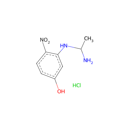 CC(N)Nc1cc(O)ccc1[N+](=O)[O-].Cl